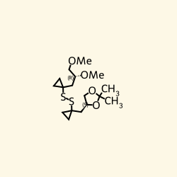 COC[C@@H](CC1(SSC2(C[C@H]3COC(C)(C)O3)CC2)CC1)OC